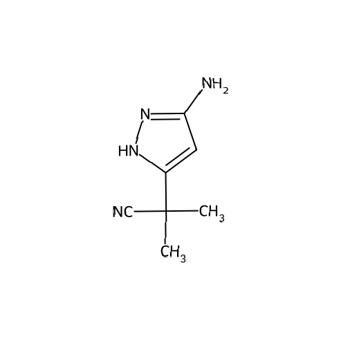 CC(C)(C#N)c1cc(N)n[nH]1